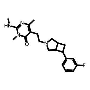 CNc1nc(C)c(CCN2CC3CC(c4cccc(F)c4)C3C2)c(=O)n1C